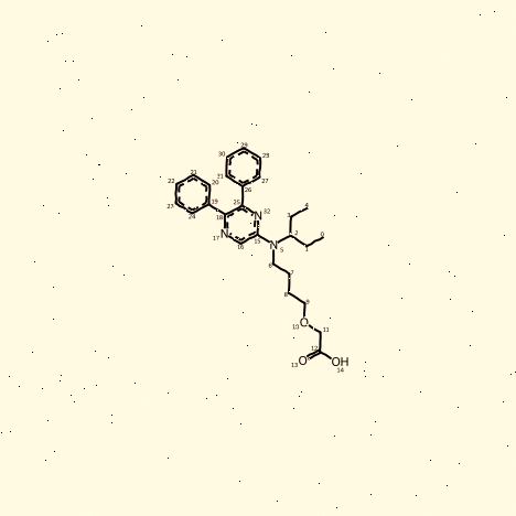 CCC(CC)N(CCCCOCC(=O)O)c1cnc(-c2ccccc2)c(-c2ccccc2)n1